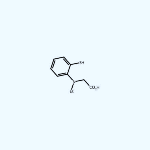 CCN(CC(=O)O)c1ccccc1S